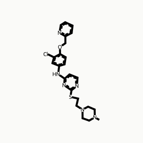 CN1CCN(CCSc2nccc(Nc3ccc(OCc4ccccn4)c(Cl)c3)n2)CC1